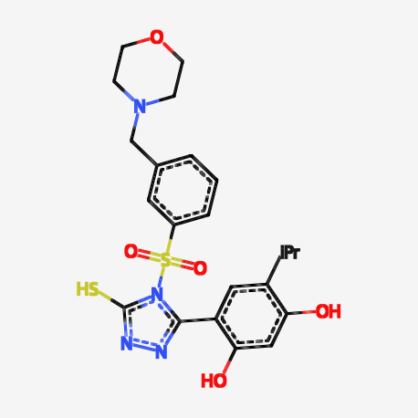 CC(C)c1cc(-c2nnc(S)n2S(=O)(=O)c2cccc(CN3CCOCC3)c2)c(O)cc1O